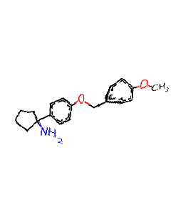 COc1ccc(COc2ccc(C3(N)CCCC3)cc2)cc1